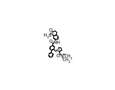 CCN(CC)C(=O)C1CCCN1Cc1cc(C(=O)Nc2ccc3c(c2)N(C)C(=O)CC3)ccc1-c1ccccc1